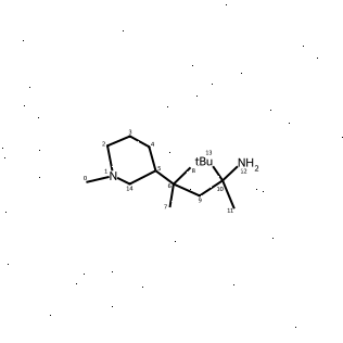 CN1CCCC(C(C)(C)CC(C)(N)C(C)(C)C)C1